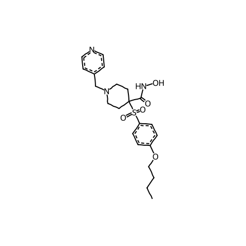 CCCCOc1ccc(S(=O)(=O)C2(C(=O)NO)CCN(Cc3ccncc3)CC2)cc1